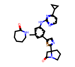 Cc1cc(Nc2nccc(C3CC3)n2)cc(-c2cnc(C34CCCN3C(=O)C4)s2)c1.O=C1CCCCCN1